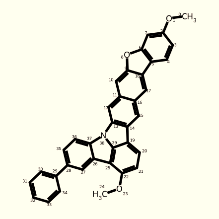 COc1ccc2c(c1)oc1cc3cc4c(cc3cc12)c1ccc(OC)c2c3cc(-c5ccccc5)ccc3n4c12